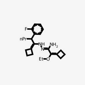 CCCC(C(N/N=C(\N)C(OCC)=C1CCC1)=C1CCC1)c1ccccc1F